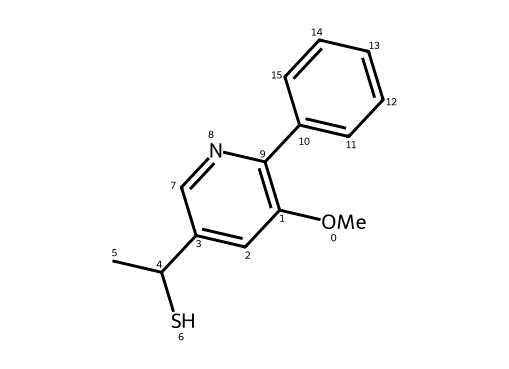 COc1cc(C(C)S)cnc1-c1ccccc1